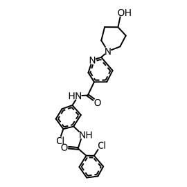 O=C(Nc1ccc(Cl)c(NC(=O)c2ccccc2Cl)c1)c1ccc(N2CCC(O)CC2)nc1